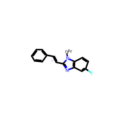 CCCn1c(/C=C/c2ccccc2)nc2cc(F)ccc21